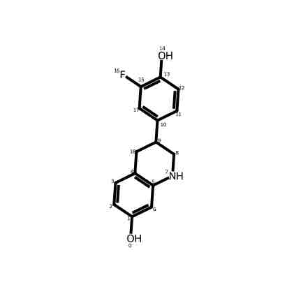 Oc1ccc2c(c1)NCC(c1ccc(O)c(F)c1)C2